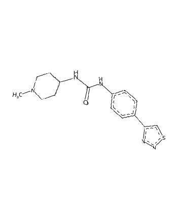 CN1CCC(NC(=O)Nc2ccc(-c3csnn3)cc2)CC1